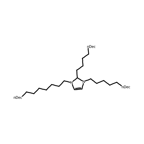 CCCCCCCCCCCCCCCCCN1C=CN(CCCCCCCCCCCCCCC)C1CCCCCCCCCCCCCC